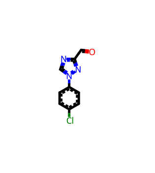 O=Cc1ncn(-c2ccc(Cl)cc2)n1